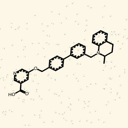 CC1CCc2ccccc2N1Cc1cccc(-c2ccc(COc3cncc(C(=O)O)c3)cc2)c1